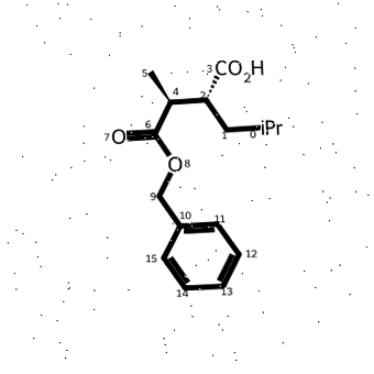 CC(C)C[C@@H](C(=O)O)[C@H](C)C(=O)OCc1ccccc1